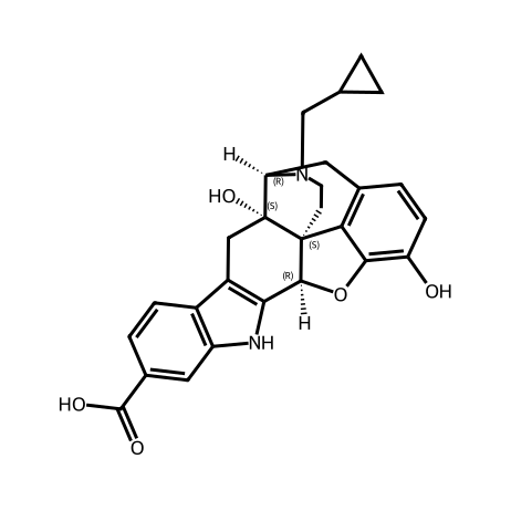 O=C(O)c1ccc2c3c([nH]c2c1)[C@@H]1Oc2c(O)ccc4c2[C@@]12CCN(CC1CC1)[C@H](C4)[C@]2(O)C3